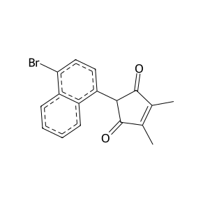 CC1=C(C)C(=O)C(c2ccc(Br)c3ccccc23)C1=O